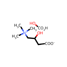 C[N+](C)(C)CC(O)CC(=O)[O-].O=C(O)O